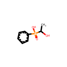 CC(O)P(=O)(O)c1ccccc1